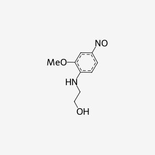 COc1cc(N=O)ccc1NCCO